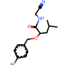 CC(C)CC(OCc1ccc(Br)cc1)C(=O)NCC#N